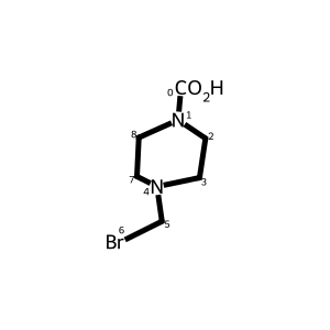 O=C(O)N1CCN(CBr)CC1